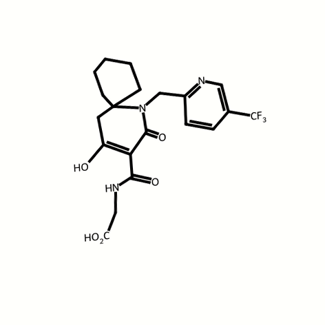 O=C(O)CNC(=O)C1=C(O)CC2(CCCCC2)N(Cc2ccc(C(F)(F)F)cn2)C1=O